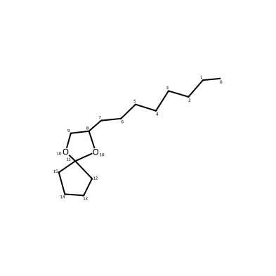 CCCCCCCCC1COC2(CCCC2)O1